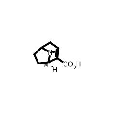 CN1C2CC=C(C(=O)O)[C@H]1CC2